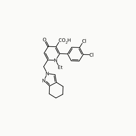 CCn1c(Cn2cc3c(n2)CCCC3)cc(=O)c(C(=O)O)c1-c1ccc(Cl)c(Cl)c1